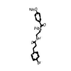 COc1ccc(C(=O)NCCNC(=O)/C=C/c2ccc(Br)cc2)cc1